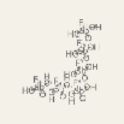 [O]=[Sb]([OH])([OH])[F].[O]=[Sb]([OH])([OH])[F].[O]=[Sb]([OH])([OH])[F].[O]=[Sb]([OH])([OH])[F].[O]=[Sb]([OH])([OH])[F].[O]=[Sb]([OH])([OH])[F]